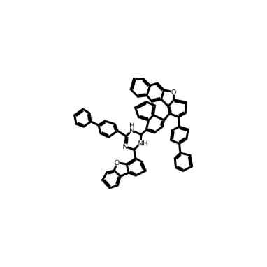 c1ccc(-c2ccc(C3=NC(c4cccc5c4oc4ccccc45)NC(c4ccc(-c5c(-c6ccc(-c7ccccc7)cc6)ccc6oc7cc8ccccc8cc7c56)c5ccccc45)N3)cc2)cc1